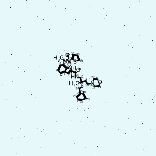 CN(c1cccc2cc(C(=O)NCC(C)(CCN3CCOCC3)SCc3ccccc3)[nH]c12)S(=O)(=O)c1cccs1